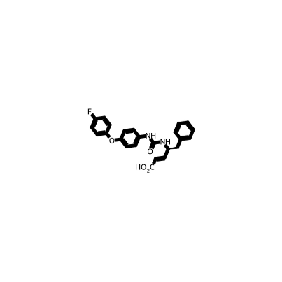 O=C(O)C=C[C@H](Cc1ccccc1)NC(=O)Nc1ccc(Oc2ccc(F)cc2)cc1